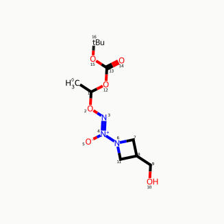 CC(ON=[N+]([O-])N1CC(CO)C1)OC(=O)OC(C)(C)C